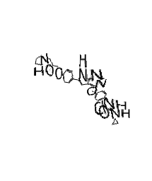 O=C(Nc1ccc(Oc2ncnc3[nH]c(-c4ccc(OC[C@H](O)CN5CCCC5)cc4)cc23)cc1Cl)NC1CC1